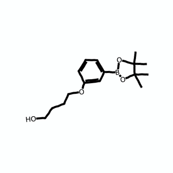 CC1(C)OB(c2cccc(OCCCCO)c2)OC1(C)C